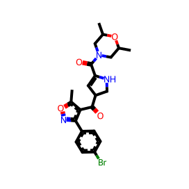 Cc1onc(-c2ccc(Br)cc2)c1C(=O)C1C=C(C(=O)N2CC(C)OC(C)C2)NC1